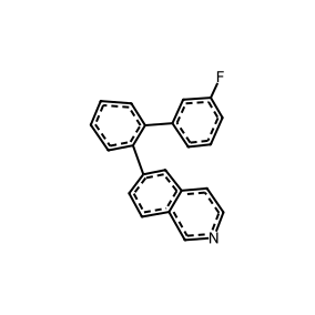 Fc1cccc(-c2ccccc2-c2ccc3cnccc3c2)c1